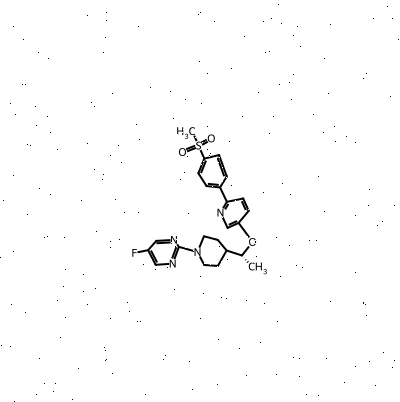 C[C@@H](Oc1ccc(-c2ccc(S(C)(=O)=O)cc2)nc1)C1CCN(c2ncc(F)cn2)CC1